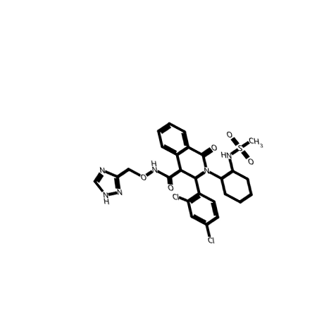 CS(=O)(=O)NC1CCCCC1N1C(=O)c2ccccc2C(C(=O)NOCc2nc[nH]n2)C1c1ccc(Cl)cc1Cl